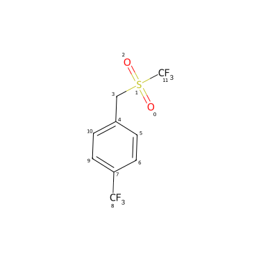 O=S(=O)(Cc1ccc(C(F)(F)F)cc1)C(F)(F)F